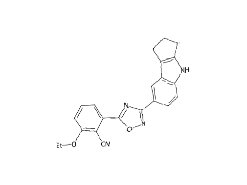 CCOc1cccc(-c2nc(-c3ccc4[nH]c5c(c4c3)CC[CH]5)no2)c1C#N